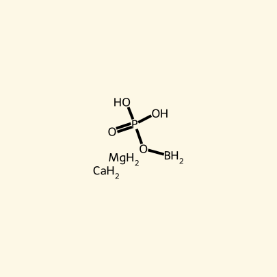 BOP(=O)(O)O.[CaH2].[MgH2]